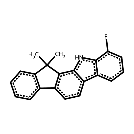 CC1(C)c2ccccc2-c2ccc3c([nH]c4c(F)cccc43)c21